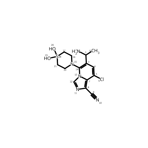 CC(N)c1cc(Cl)c2c(C#N)ncn2c1N1CCS(O)(O)CC1